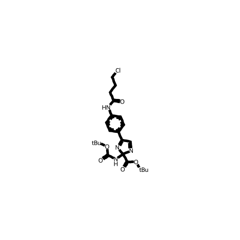 CC(C)(C)OC(=O)NC1(C(=O)OC(C)(C)C)N=CC(c2ccc(NC(=O)CCCCl)cc2)=N1